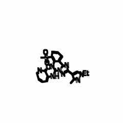 CCn1cc(-c2nc3c4cccc(S(C)(=O)=O)c4nc(Nc4ccccnc4=O)n3n2)c(C)n1